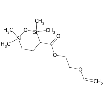 C=COCCOC(=O)C1CC[Si](C)(C)O[Si]1(C)C